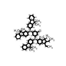 C=CC1=C(C=C)C(C)(C)c2cc(N(c3cc(Cl)cc(N(c4ccc5c(c4)C(C)(C)C4=C5CCC=C4)c4ccc5c(c4)C(C)(C)C4C=CC=CC54)c3)c3ccc4c(c3)C(C)(C)c3ccccc3-4)ccc21